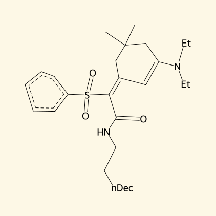 CCCCCCCCCCCCNC(=O)/C(=C1\C=C(N(CC)CC)CC(C)(C)C1)S(=O)(=O)c1ccccc1